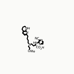 COCCN(CCCCc1ccc2c(n1)NCCC2)CC[C@H](Nc1nccnc1C#N)C(=O)O